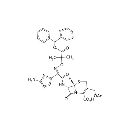 CC(=O)OCC1=C(C(=O)O)N2C(=O)[C@H](NC(=O)/C(=N\OC(C)(C)C(=O)OC(c3ccccc3)c3ccccc3)c3csc(N)n3)[C@@H]2SC1